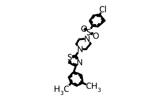 Cc1cc(C)cc(-c2csc(N3CCN(S(=O)(=O)c4ccc(Cl)cc4)CC3)n2)c1